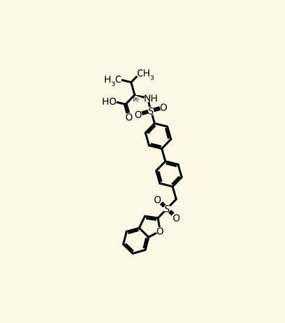 CC(C)[C@@H](NS(=O)(=O)c1ccc(-c2ccc(CS(=O)(=O)c3cc4ccccc4o3)cc2)cc1)C(=O)O